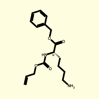 C=CCOC(=O)N[C@@H](CCCCN)C(=O)OCc1ccccc1